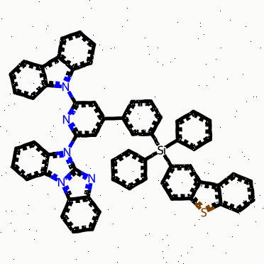 c1ccc([Si](c2ccccc2)(c2cccc(-c3cc(-n4c5ccccc5c5ccccc54)nc(-n4c5ccccc5n5c6ccccc6nc45)c3)c2)c2ccc3sc4ccccc4c3c2)cc1